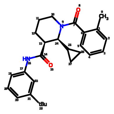 Cc1ccccc1C(=O)N1CCC[C@H](C(=O)Nc2cccc(C(C)(C)C)c2)[C@@H]1C1CC1